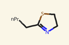 C[CH]CCC1=NCCS1